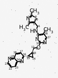 Cc1nc(C)c(CNc2nc(OC[C@H]3C[C@@H]3c3ccc4ncccc4n3)ncc2C)s1